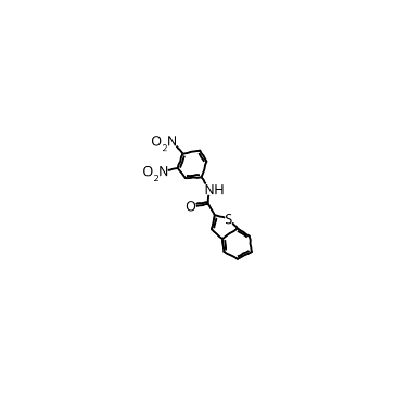 O=C(Nc1ccc([N+](=O)[O-])c([N+](=O)[O-])c1)c1cc2ccccc2s1